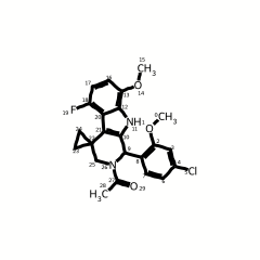 COc1cc(Cl)ccc1C1c2[nH]c3c(OC)ccc(F)c3c2C2(CC2)CN1C(C)=O